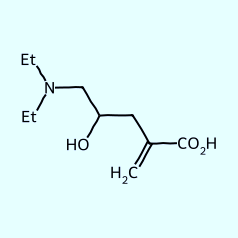 C=C(CC(O)CN(CC)CC)C(=O)O